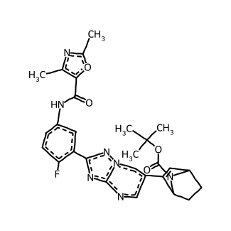 Cc1nc(C)c(C(=O)Nc2ccc(F)c(-c3nc4ncc(C5=CC6CCC5N6C(=O)OC(C)(C)C)cn4n3)c2)o1